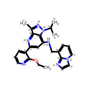 CCOc1ncccc1-c1cc(NCc2cccn3ccnc23)c2c(n1)c(C)nn2C(C)C